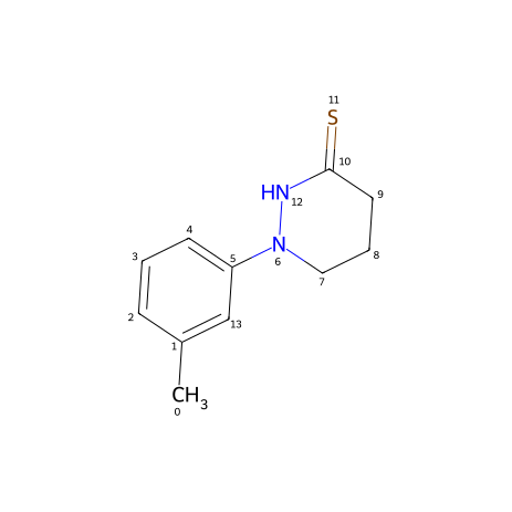 Cc1cccc(N2CCCC(=S)N2)c1